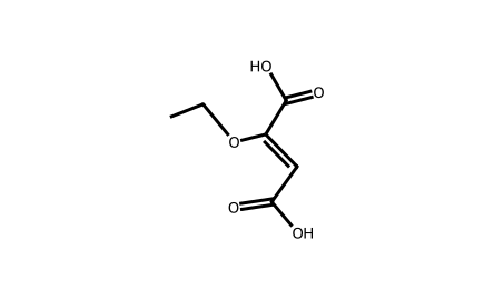 CCO/C(=C\C(=O)O)C(=O)O